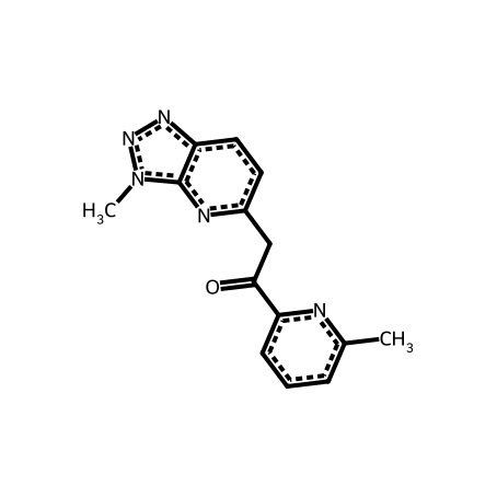 Cc1cccc(C(=O)Cc2ccc3nnn(C)c3n2)n1